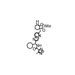 COC(=O)[C@]1(Cc2ccc3nc([C@@H](NC(=O)c4nonc4C)C4CCCCCC4)cn3n2)CCCNC1=O